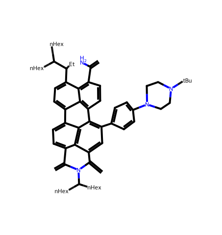 C=C(N)c1ccc2c3c(-c4ccc(N5CCN(C(C)(C)C)CC5)cc4)cc4c5c(ccc(c6ccc(C(CC)C(CCCCCC)CCCCCC)c1c62)c53)C(=C)N(C(CCCCCC)CCCCCC)C4=C